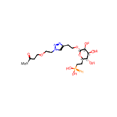 CNC(=O)CCOCCn1cc(CCO[C@H]2O[C@H](CCP(O)(O)=P)[C@@H](O)[C@H](O)[C@@H]2O)nn1